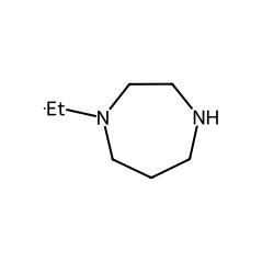 C[CH]N1CCCNCC1